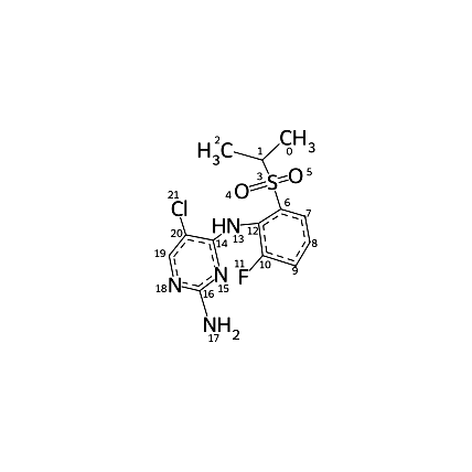 CC(C)S(=O)(=O)c1cccc(F)c1Nc1nc(N)ncc1Cl